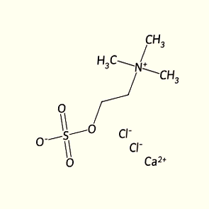 C[N+](C)(C)CCOS(=O)(=O)[O-].[Ca+2].[Cl-].[Cl-]